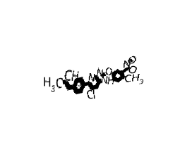 CC(C)=Cc1ccc(-c2nc3nc(Oc4ccc(C)c(C(=O)N=O)c4)[nH]c3cc2Cl)cc1